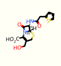 O=C(Cc1cccs1)N[C@H]1C(=O)N2C(C(=O)O)=C(CO)CS[C@@H]12